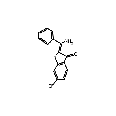 NC(=C1Sc2cc(Cl)ccc2C1=O)c1ccccc1